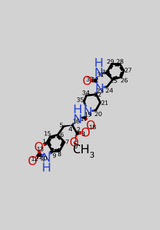 COC(=O)[C@@H](Cc1ccc2[nH]c(=O)oc2c1)NC(=O)N1CCC(N2Cc3ccccc3NC2=O)CC1